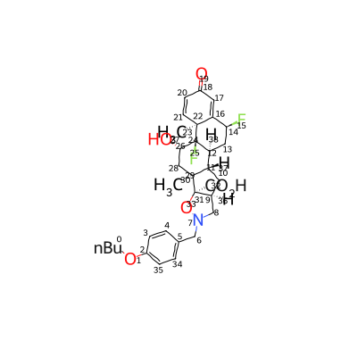 CCCCOc1ccc(CN2C[C@@H]3C[C@H]4[C@@H]5C[C@H](F)C6=CC(=O)C=C[C@]6(C)[C@@]5(F)[C@@H](O)C[C@]4(C)[C@]3(C(=O)O)O2)cc1